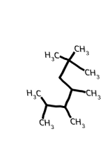 CC(C)C(C)C(C)CC(C)(C)C